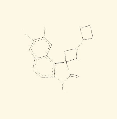 CN1C(=O)C2(CN(C3CCC3)C2)c2c1cnc1cc(F)c(Br)cc21